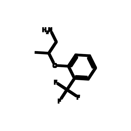 CC(CN)Oc1ccccc1C(F)(F)F